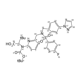 CC(C)(C)OC(=O)N(c1cccc(CN(Cc2ccc(-n3cccn3)cc2)S(=O)(=O)c2ccc(F)cc2)n1)C(C(=O)O)C(C)(C)C